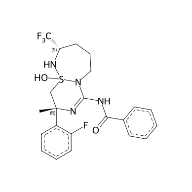 C[C@@]1(c2ccccc2F)CS2(O)N[C@H](C(F)(F)F)CCCN2C(NC(=O)c2ccccc2)=N1